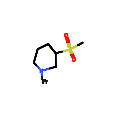 CC(C)N1CCCC(S(C)(=O)=O)C1